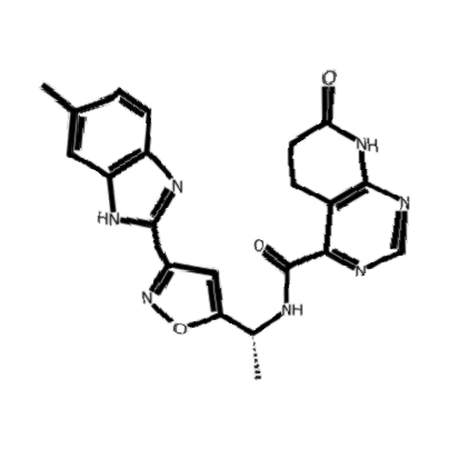 Cc1ccc2nc(-c3cc([C@@H](C)NC(=O)c4ncnc5c4CCC(=O)N5)on3)[nH]c2c1